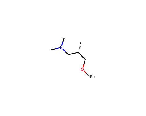 C[C@H](COC(C)(C)C)CN(C)C